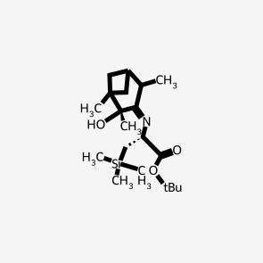 CC1/C(=N/[C@@H](C[Si](C)(C)C)C(=O)OC(C)(C)C)[C@](C)(O)C2(C)CC1C2